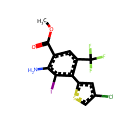 COC(=O)c1cc(C(F)(F)F)c(-c2cc(Cl)cs2)c(I)c1N